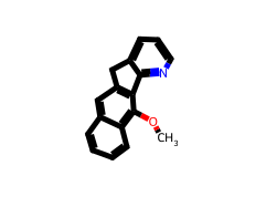 COc1c2c(cc3ccccc13)Cc1cccnc1-2